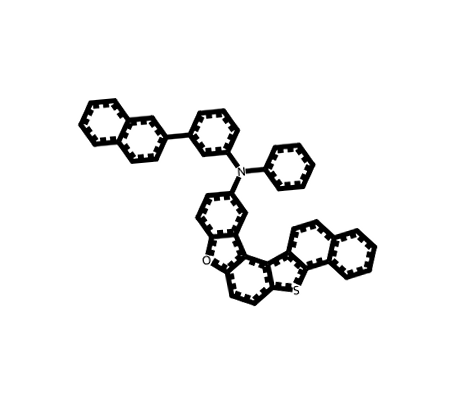 c1ccc(N(c2cccc(-c3ccc4ccccc4c3)c2)c2ccc3oc4ccc5sc6c7ccccc7ccc6c5c4c3c2)cc1